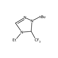 CCCCN1N=CN(CC)C1C(F)(F)F